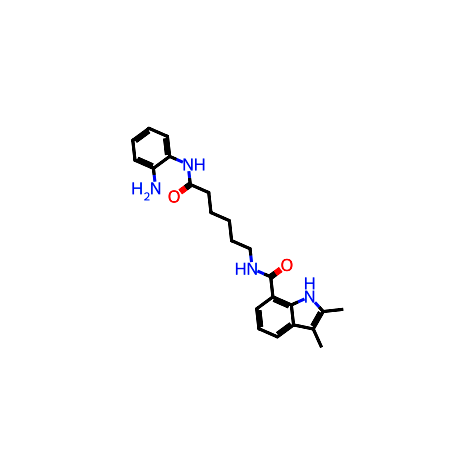 Cc1[nH]c2c(C(=O)NCCCCCC(=O)Nc3ccccc3N)cccc2c1C